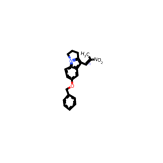 C/C(=C\c1c2n(c3ccc(OCc4ccccc4)cc13)CCC2)[N+](=O)[O-]